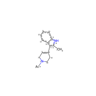 CC(=O)N1CC=C(c2c(C)[nH]c3ccccc23)CC1